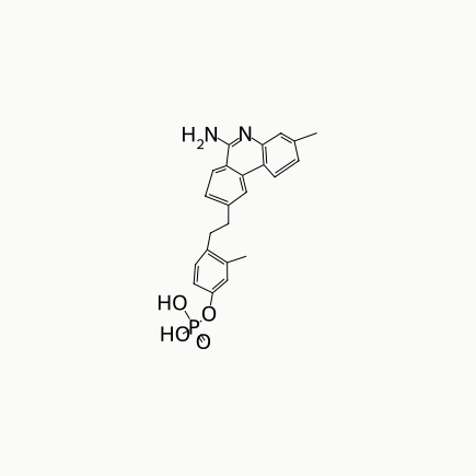 Cc1ccc2c(c1)nc(N)c1ccc(CCc3ccc(OP(=O)(O)O)cc3C)cc12